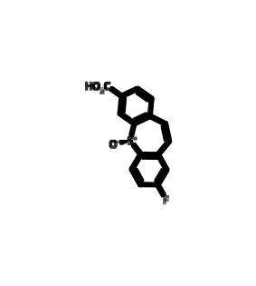 O=C(O)c1ccc2c(c1)[S@+]([O-])c1ccc(F)cc1C=C2